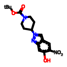 CC(C)(C)OC(=O)N1CCC(n2cc3cc([N+](=O)[O-])c(O)cc3n2)CC1